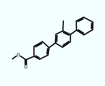 COC(=O)c1ccc(-c2ccc(-c3ccccc3)c(C)c2)cc1